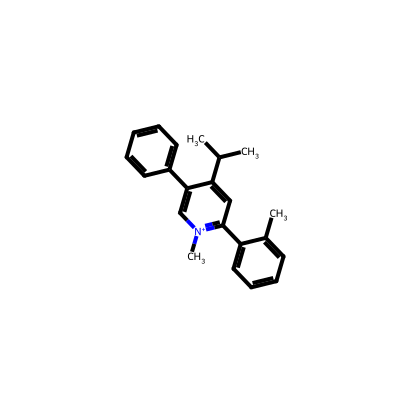 Cc1ccccc1-c1cc(C(C)C)c(-c2ccccc2)c[n+]1C